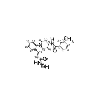 Cc1cccc(C(=O)NC2CCN(c3ccccc3C=CC(=O)NO)CC2)c1